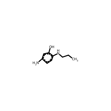 CCCNc1ccc(N)cc1O